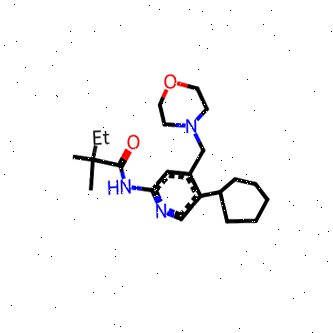 CCC(C)(C)C(=O)Nc1cc(CN2CCOCC2)c(C2CCCCC2)cn1